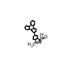 CNc1ccc(-c2ccc3c4ccccc4c4ccccc4c3c2)cc1C(=O)NC=O